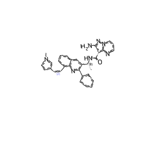 C[C@@H](NC(=O)c1c(N)nn2cccnc12)c1cc2cccc(/C=C\c3ccn(C)c3)c2nc1-c1ccccc1